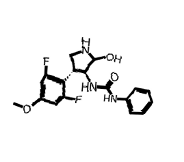 COc1cc(F)c([C@@H]2CNC(O)[C@H]2NC(=O)Nc2ccccc2)c(F)c1